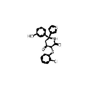 O=C1CC(c2ccsc2)(c2cccc(O)c2)NC(=O)C1Sc1ccccc1Cl